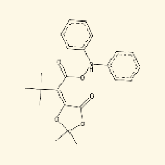 CC1(C)OC(=O)C(=C(C(=O)O[SiH](c2ccccc2)c2ccccc2)C(C)(C)C)O1